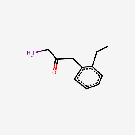 CCc1ccccc1CC(=O)CP